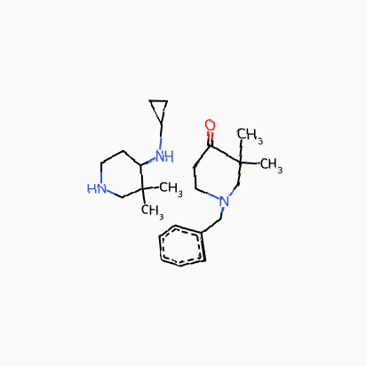 CC1(C)CN(Cc2ccccc2)CCC1=O.CC1(C)CNCCC1NC1CC1